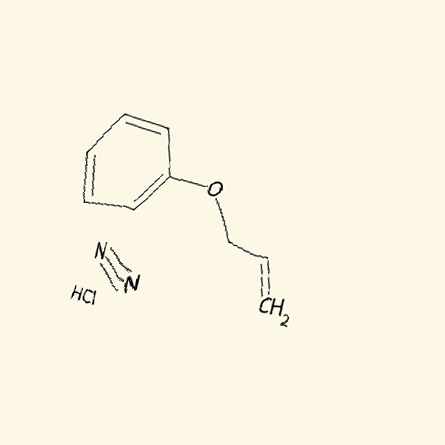 C=CCOc1ccccc1.Cl.N#N